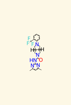 Cc1cc(C)nc(NC(=O)N2C[C@@H]3CN(c4ccccc4C(F)(F)F)C[C@@H]3C2)n1